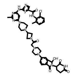 Cc1nc(Nc2ncc(C(=O)Nc3c(C)cccc3Cl)s2)cc(N2CCN(C3CN(C(=O)CN4CCN(c5ccc6c(c5)C(O)N(C5CCC(=O)NC5=O)C6=O)CC4)C3)CC2)n1